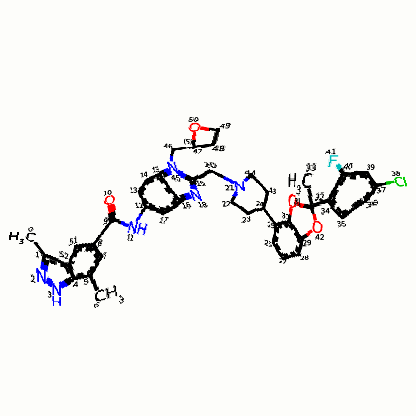 Cc1n[nH]c2c(C)cc(C(=O)Nc3ccc4c(c3)nc(CN3CCC(c5cccc6c5OC(C)(c5ccc(Cl)cc5F)O6)CC3)n4C[C@@H]3CCO3)cc12